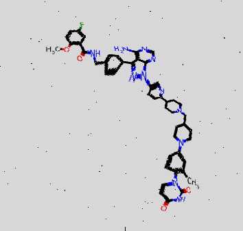 COc1ccc(F)cc1C(=O)NCc1ccc(-c2nn(-c3ccc(C4CCN(CC5CCN(c6ccc(N7CCC(=O)NC7=O)c(C)c6)CC5)CC4)nc3)c3ncnc(N)c23)cc1